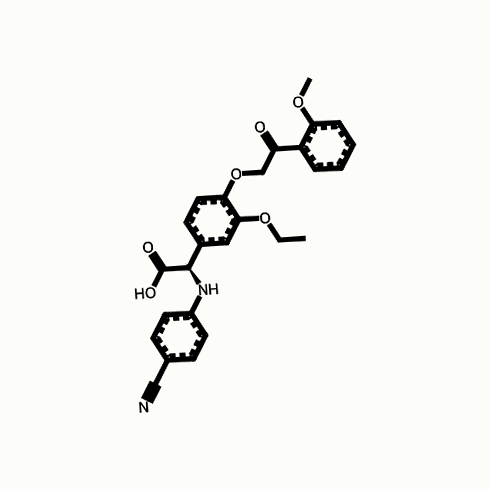 CCOc1cc([C@@H](Nc2ccc(C#N)cc2)C(=O)O)ccc1OCC(=O)c1ccccc1OC